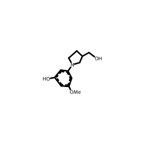 COc1cc(O)cc(N2CCC(CO)C2)c1